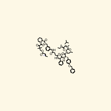 C/C=C/C(=O)OCC(C)(C)C(=O)C(=O)N1CCCC[C@H]1C(=O)OCc1cccc(NC(=O)CCC(=O)NC(C(=O)N[C@@H](Cc2ccc(OCc3ccccc3)cc2)C(=O)N(CCC)CC(=O)N(C)[C@@H](CC(C)C)C(=O)N(C)CC)c2ccccc2)c1